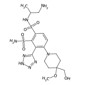 COC1(CO)CCN(c2ccc(S(=O)(=O)NC(C)CN)c(S(N)(=O)=O)c2-c2nn[nH]n2)CC1